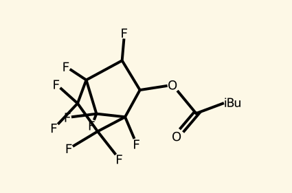 CCC(C)C(=O)OC1C(F)C2(F)C(F)(F)C(F)(F)C1(F)C2(F)F